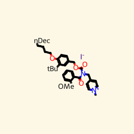 CCCCCCCCCCCCCCOc1ccc(COC(=O)N(Cc2cc[n+](C)cc2)C(=O)c2ccccc2OC)cc1C(C)(C)C.[I-]